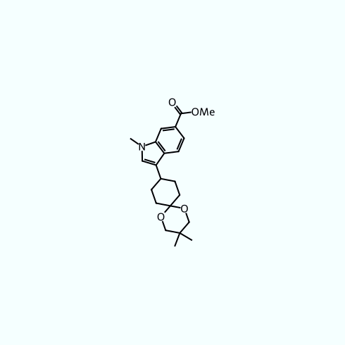 COC(=O)c1ccc2c(C3CCC4(CC3)OCC(C)(C)CO4)cn(C)c2c1